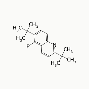 CC(C)(C)c1ccc2c(F)c(C(C)(C)C)ccc2n1